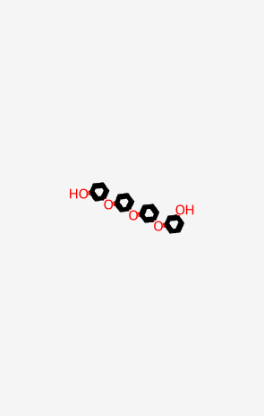 Oc1cccc(Oc2cccc(Oc3cccc(Oc4cccc(O)c4)c3)c2)c1